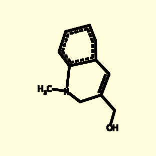 CN1CC(CO)=Cc2ccccc21